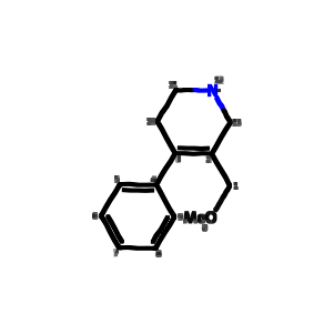 COCC1=C(c2ccccc2)CC[N]C1